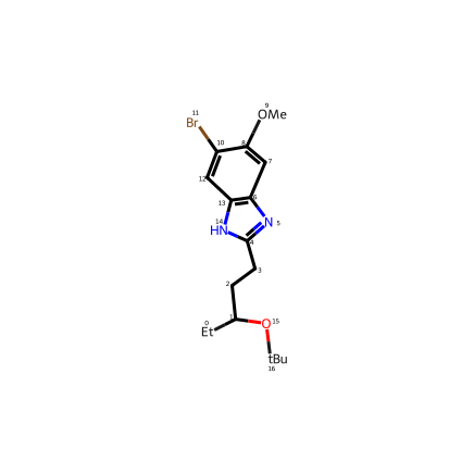 CCC(CCc1nc2cc(OC)c(Br)cc2[nH]1)OC(C)(C)C